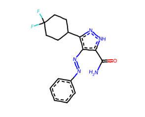 NC(=O)c1[nH]nc(C2CCC(F)(F)CC2)c1N=Nc1ccccc1